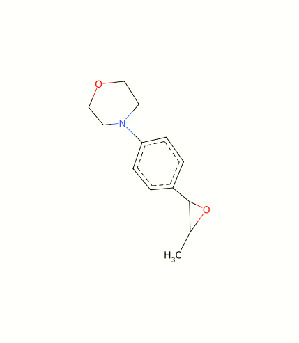 CC1OC1c1ccc(N2CCOCC2)cc1